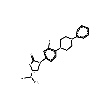 CC(=O)N(C)[C@@H]1CN(c2ccc(N3CCN(c4ccccc4)CC3)c(F)c2)C(=O)O1